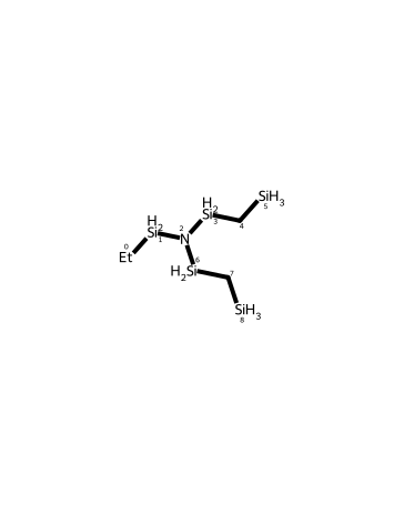 CC[SiH2]N([SiH2]C[SiH3])[SiH2]C[SiH3]